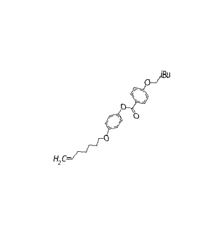 C=CCCCCCOc1ccc(OC(=O)c2ccc(OCC(C)CC)cc2)cc1